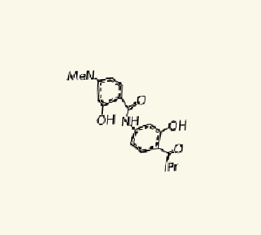 CNc1ccc(C(=O)Nc2ccc(C(=O)C(C)C)c(O)c2)c(O)c1